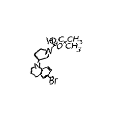 CC(C)(C)OC(=O)N1CCC(N2CCCc3cc(Br)ccc32)C1